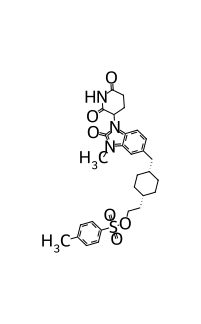 Cc1ccc(S(=O)(=O)OCC[C@H]2CC[C@@H](Cc3ccc4c(c3)n(C)c(=O)n4C3CCC(=O)NC3=O)CC2)cc1